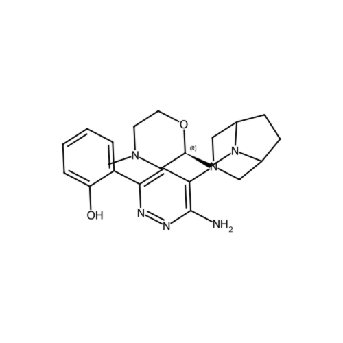 CN1CCO[C@@H](CN2C3CCC2CN(c2cc(-c4ccccc4O)nnc2N)C3)C1